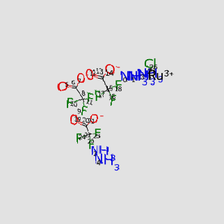 N.N.N.N.N.O=C([O-])C(F)(F)F.O=C([O-])C(F)(F)F.O=C([O-])C(F)(F)F.[Cl][Ru+3]